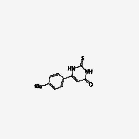 CC(C)(C)c1ccc(-c2cc(=O)[nH]c(=S)[nH]2)cc1